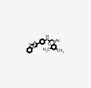 CC(=O)N(CC(=O)Nc1ccc(-c2cn3c(n2)sc2ccccc23)cc1)c1cc(C)cc(C)c1